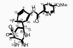 COc1cnc(C(=O)Nc2ccc(F)c([C@]3(C)CS(=O)(=O)[C@@](C)(C(C)C)C(=N)N3)c2)cn1